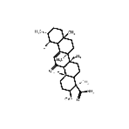 CC(=O)OC1CC[C@@]2(C)C(CC[C@]3(C)C2C(=O)C=C2C4[C@@H](C)[C@H](C)CC[C@]4(C)CC[C@]23C)[C@@]1(C)C(N)=O